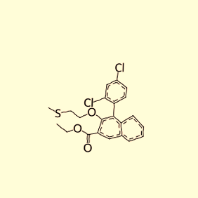 CCOC(=O)c1cc2ccccc2c(-c2ccc(Cl)cc2Cl)c1OCCSC